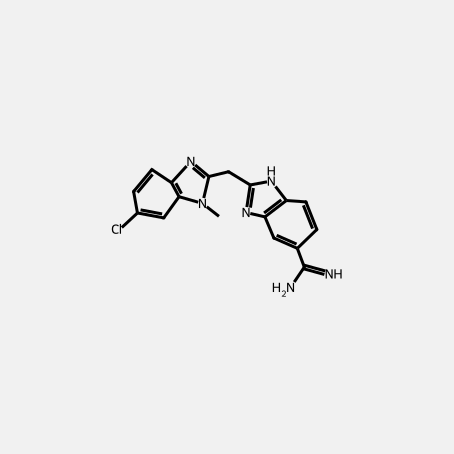 Cn1c(Cc2nc3cc(C(=N)N)ccc3[nH]2)nc2ccc(Cl)cc21